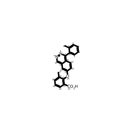 Cc1ccccc1-c1nncc2cc(Oc3c(C)cccc3C(=O)O)ccc12